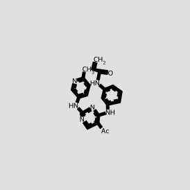 C=CC(=O)Nc1cccc(Nc2nc(Nc3ccc(C)nc3)ncc2C(C)=O)c1